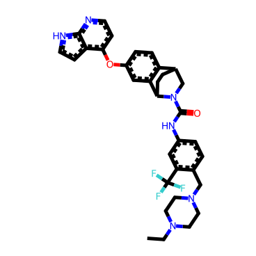 CCN1CCN(Cc2ccc(NC(=O)N3CC4CCC3c3cc(Oc5ccnc6[nH]ccc56)ccc34)cc2C(F)(F)F)CC1